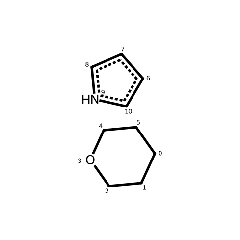 C1CCOCC1.c1cc[nH]c1